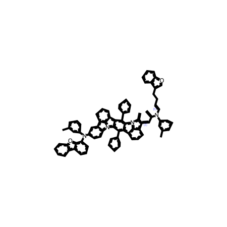 C=C(/C=c1\c(=C)n2c3c(-c4ccccc4)c4c5cccc6c7cc(N(c8cccc(C)c8)c8cccc9c8oc8ccccc89)ccc7n(c4c(-c4ccccc4)c3c3cccc1c32)c65)N(/C=C/CCc1coc2ccccc12)c1cccc(C)c1